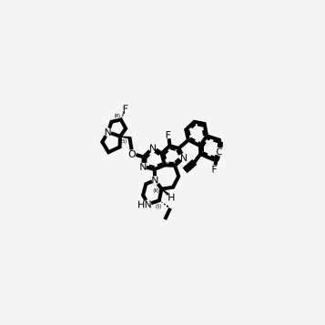 C#Cc1c(F)ccc2cccc(-c3nc4c5c(nc(OC[C@@]67CCCN6C[C@H](F)C7)nc5c3F)N3CCN[C@@H](CC)[C@H]3CC4)c12